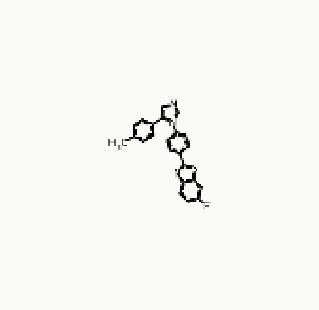 Cc1ccc(-c2cncn2-c2ccc(-c3nc4ccc(F)cc4s3)cc2)cc1